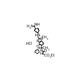 CCOC(=O)CC(=O)NC(C)(C(=O)N1CCCC1)c1ccc2c(c1)nc(CNc1ccc(C(=N)N)cc1)n2C.Cl